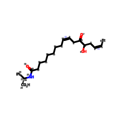 CC/C=C\CC(O)C(=O)C/C=C\CCCCCCCC(=O)N[C@H](C(=O)O)C(C)C